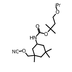 CC(C)OCCC(C)(C)OC(=O)NC1CC(C)(C)CC(C)(COC#N)C1